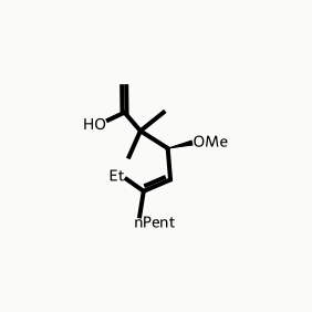 C=C(O)C(C)(C)[C@H](/C=C(\CC)CCCCC)OC